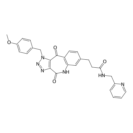 COc1ccc(Cn2nnc3c(=O)[nH]c4cc(CCC(=O)NCc5ccccn5)ccc4c(=O)c32)cc1